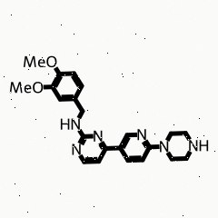 COc1ccc(CNc2nccc(-c3ccc(N4CCNCC4)nc3)n2)cc1OC